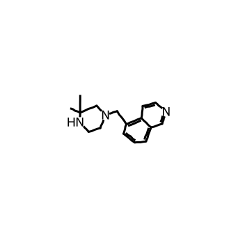 CC1(C)CN(Cc2cccc3cnccc23)CCN1